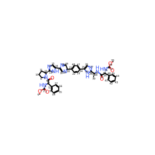 COC(=O)NC(C(=O)N1CCC[C@H]1c1ncc(-c2cnc(-c3ccc(-c4cnc([C@H](C)NC(=O)[C@H](NC(=O)OC)c5ccccc5)[nH]4)cc3)cn2)[nH]1)c1ccccc1